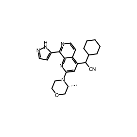 C[C@@H]1COCCN1c1cc(C(C#N)C2CCCCC2)c2ccnc(-c3ccn[nH]3)c2n1